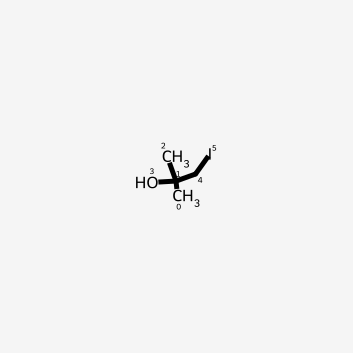 CC(C)(O)CI